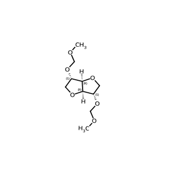 COCO[C@H]1CO[C@H]2[C@@H]1OC[C@@H]2OCOC